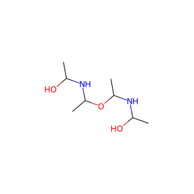 CC(O)NC(C)OC(C)NC(C)O